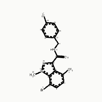 Cc1ccc(Br)c2c1c(C(=O)NCc1ccc(Cl)cc1)nn2C